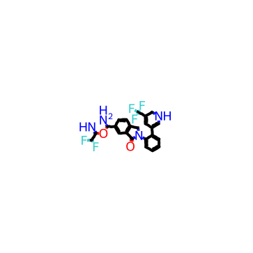 N=C(OC(N)c1ccc2c(c1)C(=O)N(c1ccccc1C1=CNCC(C(F)(F)F)=C1)C2)C(F)F